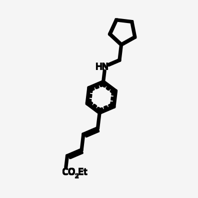 CCOC(=O)C=CC=Cc1ccc(NCC2CCCC2)cc1